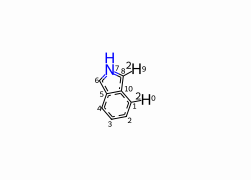 [2H]c1cccc2c[nH]c([2H])c12